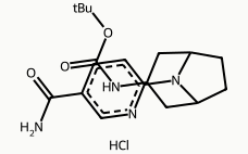 CC(C)(C)OC(=O)NC1CC2CCC(C1)N2c1ccc(C(N)=O)cn1.Cl